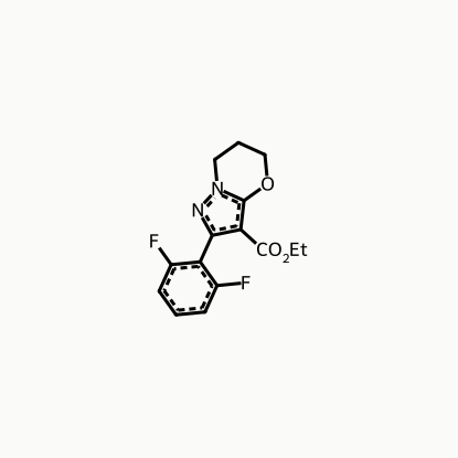 CCOC(=O)c1c(-c2c(F)cccc2F)nn2c1OCCC2